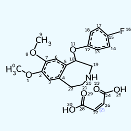 COc1cc2c(cc1OC)C(Oc1ccc(F)cc1)CNCC2.O=C(O)/C=C\C(=O)O